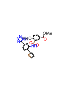 COC(=O)c1ccc(OC)c(S(=O)(=O)Nc2cc(-c3nnn[nH]3)ccc2-c2cccs2)c1